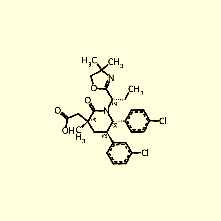 CC[C@@H](C1=NC(C)(C)CO1)N1C(=O)[C@@](C)(CC(=O)O)C[C@H](c2cccc(Cl)c2)[C@H]1c1ccc(Cl)cc1